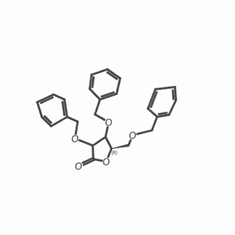 O=C1O[C@H](COCc2ccccc2)C(OCc2ccccc2)C1OCc1ccccc1